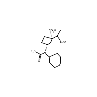 CC(=O)OC(C)[C@]1(C(=O)O)CC[C@@H](N(C(=O)C(F)(F)F)C2CCOCC2)C1